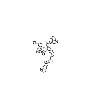 C[C@@H](COc1ccnc2c1[C@H](C)CCC2)C[C@H]1Cc2ccc(OCCCNC(=O)Cc3ccc4ncccc4c3)cc2C12CCC(Nc1cccc(Cl)c1)(C(=O)O)CC2